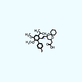 COc1cc(C(C)C)c(/C=C/C2CC(CC(=O)O)OC3(CCCCC3)O2)c(-c2ccc(F)cc2)c1OC